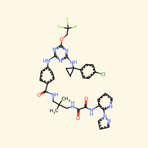 CC(C)(CNC(=O)C(=O)Nc1cccnc1-n1cccn1)CNC(=O)c1ccc(Nc2nc(NC3(c4ccc(Cl)cc4)CC3)nc(OCC(F)(F)F)n2)cc1